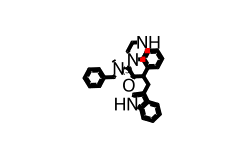 CN(Cc1ccccc1)[C@H](C(=O)C(Cc1c[nH]c2ccccc12)c1ccccc1)N1CCNCC1